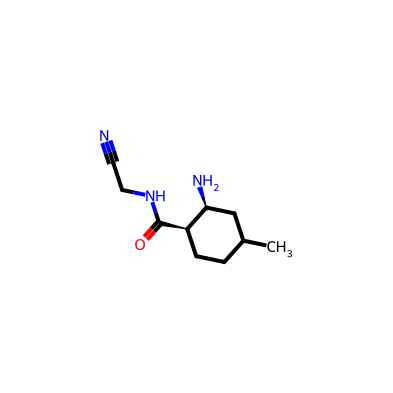 CC1CC[C@@H](C(=O)NCC#N)[C@@H](N)C1